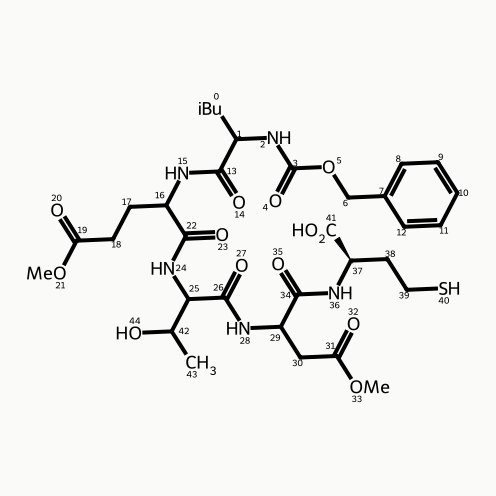 CCC(C)C(NC(=O)OCc1ccccc1)C(=O)NC(CCC(=O)OC)C(=O)NC(C(=O)NC(CC(=O)OC)C(=O)N[C@H](CCS)C(=O)O)C(C)O